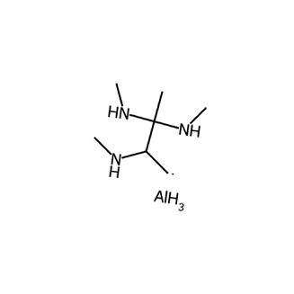 [AlH3].[CH2]C(NC)C(C)(NC)NC